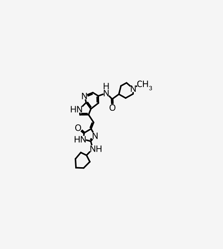 CN1CCC(C(=O)Nc2cnc3[nH]cc(C=C4N=C(NC5CCCCC5)NC4=O)c3c2)CC1